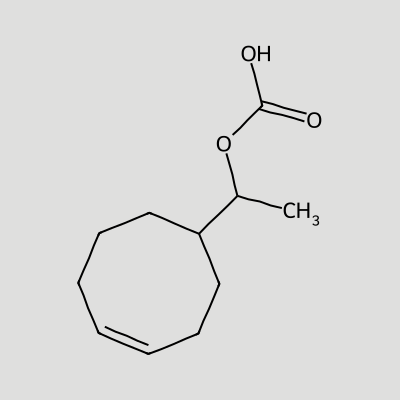 CC(OC(=O)O)C1CCC=CCCC1